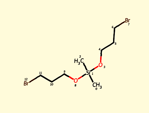 C[Si](C)(OCCCBr)OCCCBr